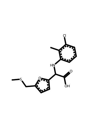 CSCc1ccc(C(Nc2cccc(Cl)c2C)C(=O)O)o1